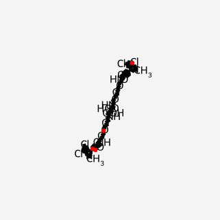 CN1Cc2c(Cl)cc(Cl)cc2[C@H](c2ccc(S(=O)(=O)NCCOCCOCCOCCNC(=O)C(O)[C@@H](O)C(=O)NCCOCCOCCOCCNS(=O)(=O)c3ccc([C@@H]4CN(C)Cc5c(Cl)cc(Cl)cc54)cc3)cc2)C1